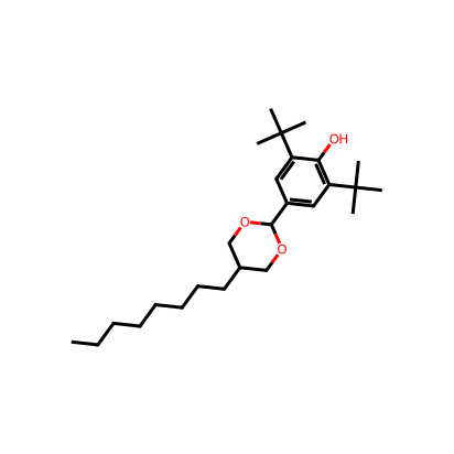 CCCCCCCCC1COC(c2cc(C(C)(C)C)c(O)c(C(C)(C)C)c2)OC1